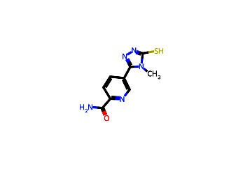 Cn1c(S)nnc1-c1ccc(C(N)=O)nc1